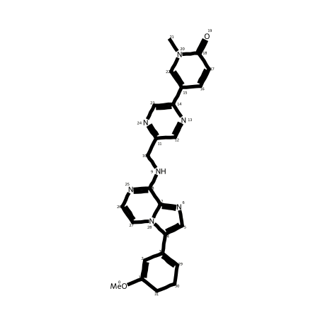 COC1=CC(c2cnc3c(NCc4cnc(-c5ccc(=O)n(C)c5)cn4)nccn23)=CCC1